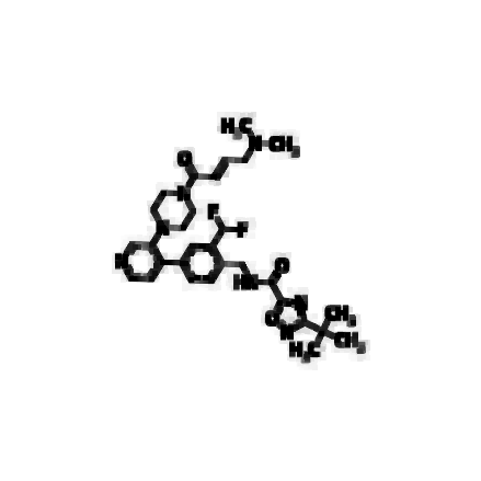 CN(C)CC=CC(=O)N1CCN(c2cnccc2-c2ccc(CNC(=O)c3nc(C(C)(C)C)no3)c(C(F)F)c2)CC1